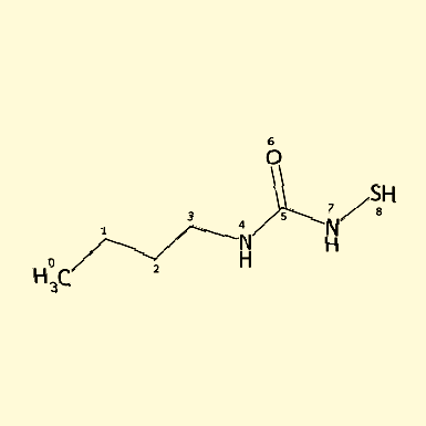 CCCCNC(=O)NS